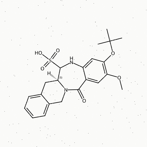 COc1cc2c(cc1OC(C)(C)C)NC(S(=O)(=O)O)[C@@H]1Cc3ccccc3CN1C2=O